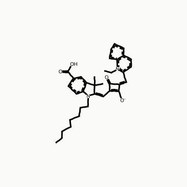 CCCCCCCCN1C(=CC2=C([O-])C(=Cc3ccc4ccccc4[n+]3CC)C2=O)C(C)(C)c2cc(C(=O)O)ccc21